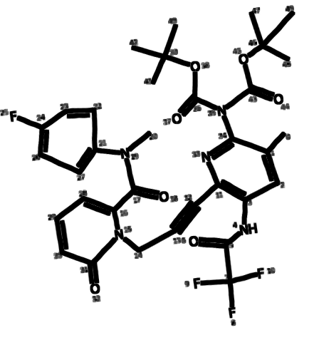 Cc1cc(NC(=O)C(F)(F)F)c(C#CCn2c(C(=O)N(C)c3ccc(F)cc3)cccc2=O)nc1N(C(=O)OC(C)(C)C)C(=O)OC(C)(C)C